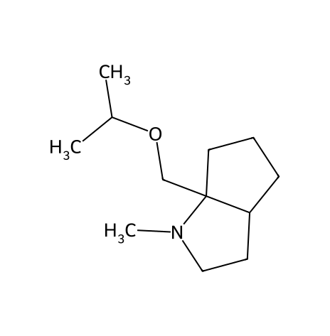 CC(C)OCC12CCCC1CCN2C